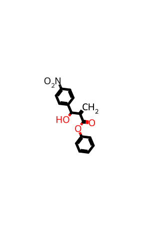 C=C(C(=O)Oc1ccccc1)C(O)c1ccc([N+](=O)[O-])cc1